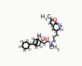 Cc1cc2cc(CCCN(C)CCC3(O)CC4CC[C@H]3C=C4c3ccccc3)cnc2o1